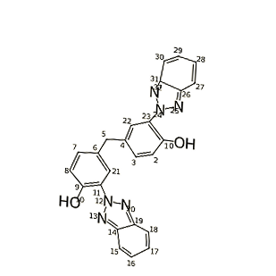 Oc1ccc(Cc2ccc(O)c(-n3nc4ccccc4n3)c2)cc1-n1nc2ccccc2n1